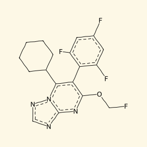 FCOc1nc2ncnn2c(C2CCCCC2)c1-c1c(F)cc(F)cc1F